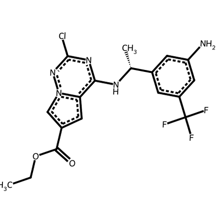 CCOC(=O)c1cc2c(N[C@H](C)c3cc(N)cc(C(F)(F)F)c3)nc(Cl)nn2c1